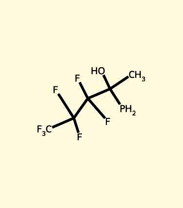 CC(O)(P)C(F)(F)C(F)(F)C(F)(F)F